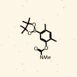 CNC(=O)Oc1cc(B2OC(C)(C)C(C)(C)O2)c(C)cc1C